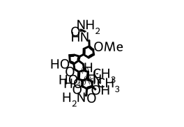 COc1ccc(-c2ccc(O)c3c2C[C@H]2C[C@H]4[C@H](N(C)C)C(O)=C(C(N)=O)C(=O)[C@@]4(O)C(O)=C2C3=O)cc1CNCC(N)=O